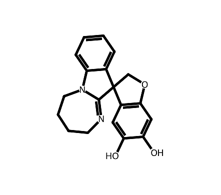 Oc1cc2c(cc1O)C1(CO2)C2=NCCCCN2c2ccccc21